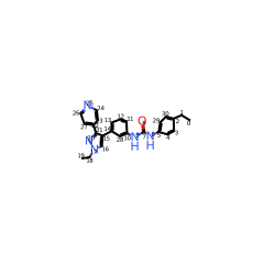 CCc1ccc(NC(=O)Nc2cccc(-c3cn(CC)nc3-c3ccncc3)c2)cc1